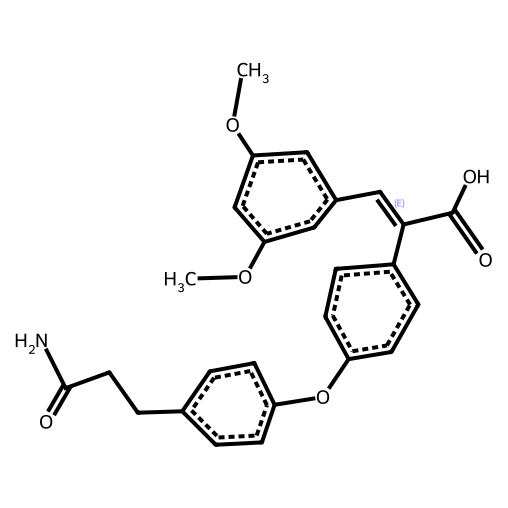 COc1cc(/C=C(/C(=O)O)c2ccc(Oc3ccc(CCC(N)=O)cc3)cc2)cc(OC)c1